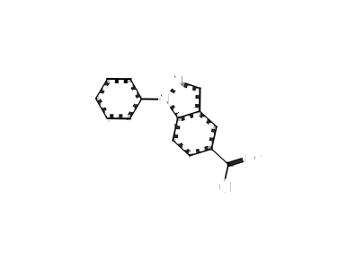 CC(=O)c1ccc2c(cnn2-c2ccccc2)c1